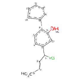 O=C(O)CCC(Cl)c1ccc(-c2ccccc2)c(O)c1